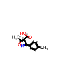 Cc1ccc(-c2noc(C)c2C(=O)O)cc1